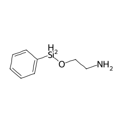 NCCO[SiH2]c1ccccc1